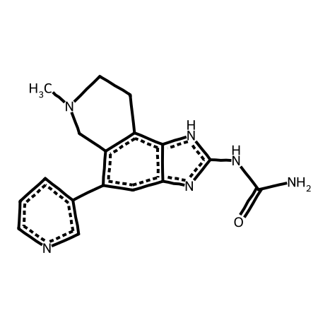 CN1CCc2c(c(-c3cccnc3)cc3nc(NC(N)=O)[nH]c23)C1